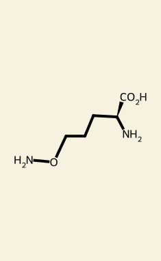 NOCCC[C@H](N)C(=O)O